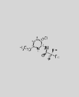 COc1ccc(Cl)c(NC(=O)C(F)(F)F)n1